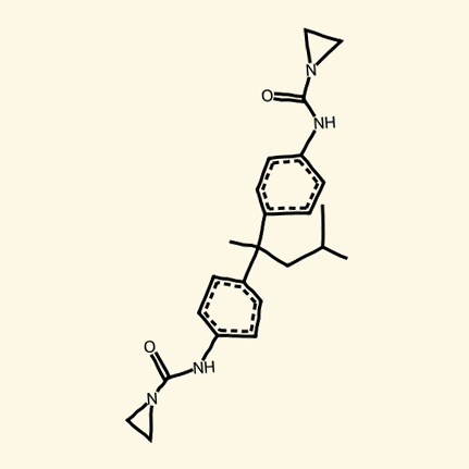 CC(C)CC(C)(c1ccc(NC(=O)N2CC2)cc1)c1ccc(NC(=O)N2CC2)cc1